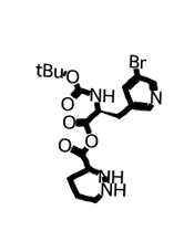 CC(C)(C)OC(=O)N[C@@H](Cc1cncc(Br)c1)C(=O)OC(=O)C1CCCNN1